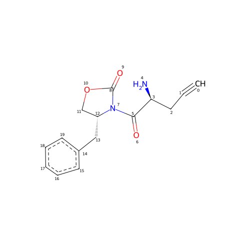 C#CC[C@H](N)C(=O)N1C(=O)OC[C@H]1Cc1ccccc1